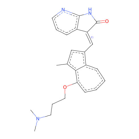 Cc1cc(/C=C2/C(=O)Nc3ncccc32)c2ccccc(OCCCN(C)C)c1-2